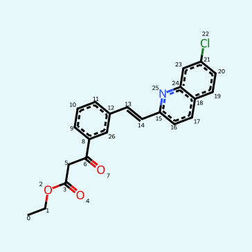 CCOC(=O)CC(=O)c1cccc(C=Cc2ccc3ccc(Cl)cc3n2)c1